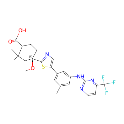 CO[C@]1(c2ncc(-c3cc(C)cc(Nc4nccc(C(F)(F)F)n4)c3)s2)CCC(C(=O)O)C(C)(C)C1